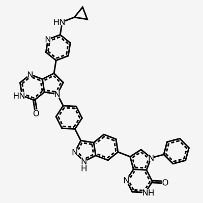 O=c1[nH]cnc2c(-c3ccc(NC4CC4)nc3)cn(-c3ccc(-c4n[nH]c5cc(-c6cn(-c7ccccc7)c7c(=O)[nH]cnc67)ccc45)cc3)c12